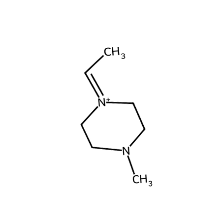 CC=[N+]1CCN(C)CC1